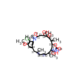 COc1cc2cc(c1Cl)N(C)C(=O)CC(O)C1(C)OC1C(C)C1CC(O)(NC(=O)O1)C(C)/C=C/C=C(\C)C2